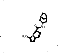 Cc1ccc2ccc(C(=O)N[C@@H]3CC4CCN(C4)C3)cn12